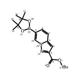 CC(C)(C)OC(=O)c1cc2ccc(B3OC(C)(C)C(C)(C)O3)cn2n1